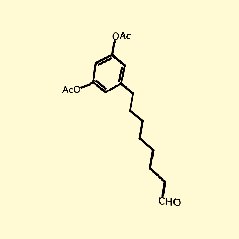 CC(=O)Oc1cc(CCCCCCCC=O)cc(OC(C)=O)c1